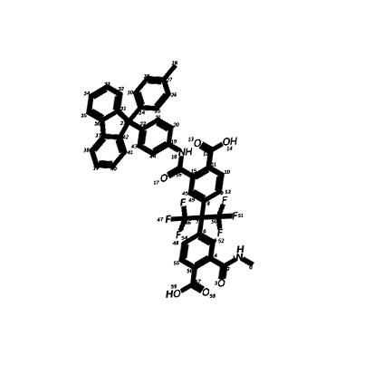 CNC(=O)c1cc(C(c2ccc(C(=O)O)c(C(=O)Nc3ccc(C4(c5ccc(C)cc5)c5ccccc5-c5ccccc54)cc3)c2)(C(F)(F)F)C(F)(F)F)ccc1C(=O)O